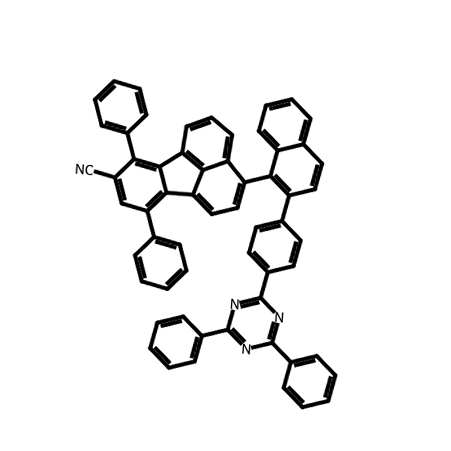 N#Cc1cc(-c2ccccc2)c2c(c1-c1ccccc1)-c1cccc3c(-c4c(-c5ccc(-c6nc(-c7ccccc7)nc(-c7ccccc7)n6)cc5)ccc5ccccc45)ccc-2c13